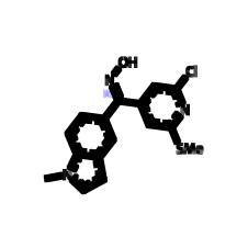 CSc1cc(/C(=N\O)c2ccc3c(ccn3C)c2)cc(Cl)n1